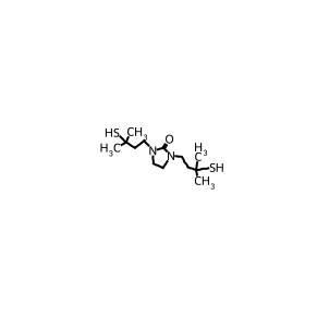 CC(C)(S)CCN1CCN(CCC(C)(C)S)C1=O